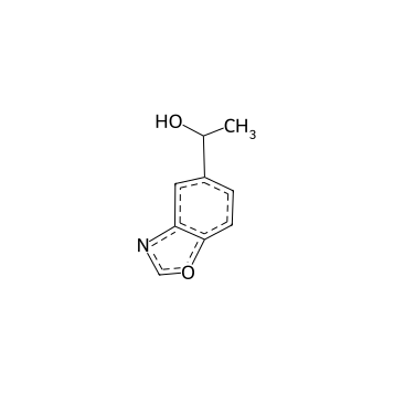 CC(O)c1ccc2ocnc2c1